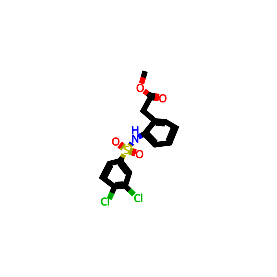 COC(=O)Cc1ccccc1NS(=O)(=O)c1ccc(Cl)c(Cl)c1